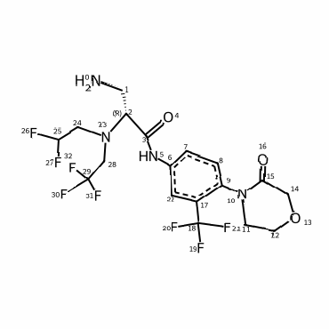 NC[C@H](C(=O)Nc1ccc(N2CCOCC2=O)c(C(F)(F)F)c1)N(CC(F)F)CC(F)(F)F